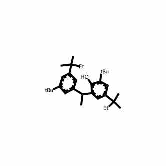 CCC(C)(C)c1cc(C(C)c2cc(C(C)(C)CC)cc(C(C)(C)C)c2O)[c]c(C(C)(C)C)c1